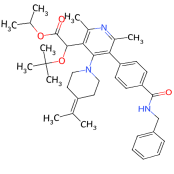 CC(C)=C1CCN(c2c(-c3ccc(C(=O)NCc4ccccc4)cc3)c(C)nc(C)c2C(OC(C)(C)C)C(=O)OC(C)C)CC1